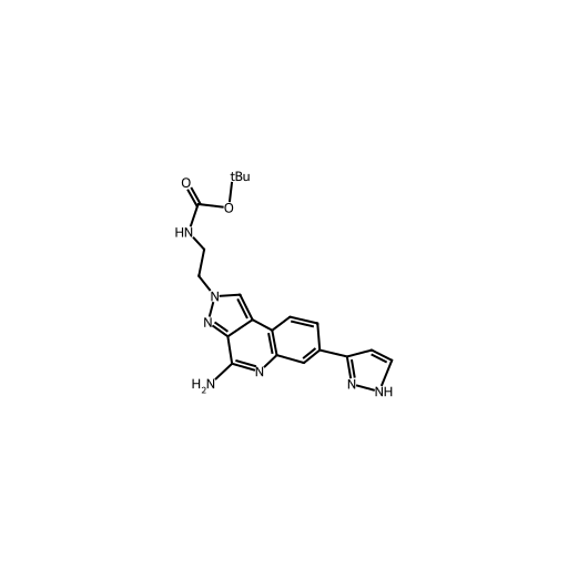 CC(C)(C)OC(=O)NCCn1cc2c(n1)c(N)nc1cc(-c3cc[nH]n3)ccc12